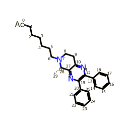 CC(=O)CCCCCCN1CCc2nc(-c3ccccc3)c(-c3ccccc3)nc2[C@@H]1C